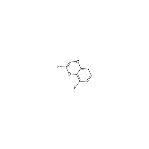 FC1=[C]Oc2cccc(F)c2O1